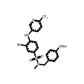 COc1ccc(CN(C)S(=O)(=O)c2ccc(Nc3ccc(C(F)(F)F)nc3)c(Br)c2)cc1